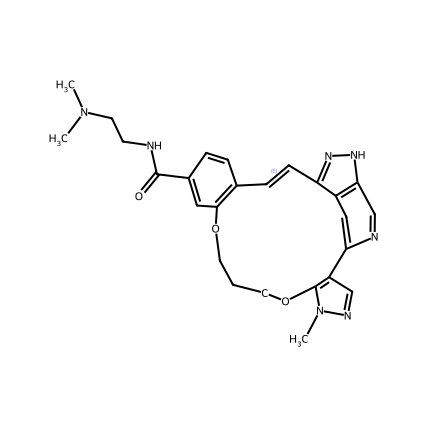 CN(C)CCNC(=O)c1ccc2c(c1)OCCCOc1c(cnn1C)-c1cc3c(n[nH]c3cn1)/C=C/2